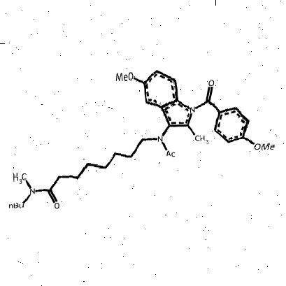 CCCCN(C)C(=O)CCCCCCCN(C(C)=O)c1c(C)n(C(=O)c2ccc(OC)cc2)c2ccc(OC)cc12